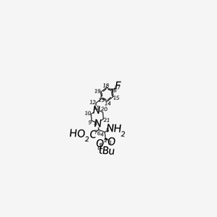 CC(C)(C)OC(=O)C(N)C(C(=O)O)N1CCN(Cc2ccc(F)cc2)CC1